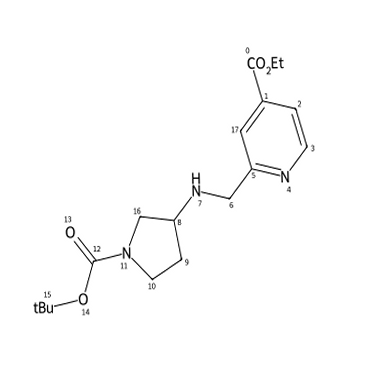 CCOC(=O)c1ccnc(CNC2CCN(C(=O)OC(C)(C)C)C2)c1